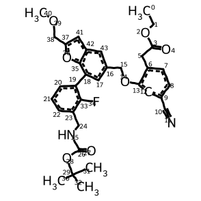 CCOC(=O)Cc1ccc(C#N)cc1OCc1cc(-c2cccc(CNC(=O)OC(C)(C)C)c2F)c2oc(COC)cc2c1